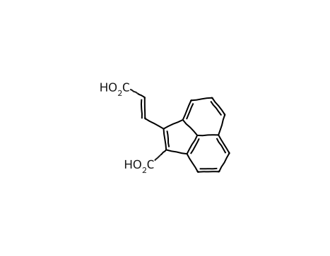 O=C(O)C=CC1=C(C(=O)O)c2cccc3cccc1c23